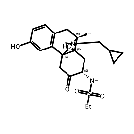 CCS(=O)(=O)N[C@H]1C[C@@]2(O)[C@H]3Cc4ccc(O)cc4[C@@]2(CCN3CC2CC2)CC1=O